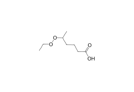 CCOOC(C)CCCC(=O)O